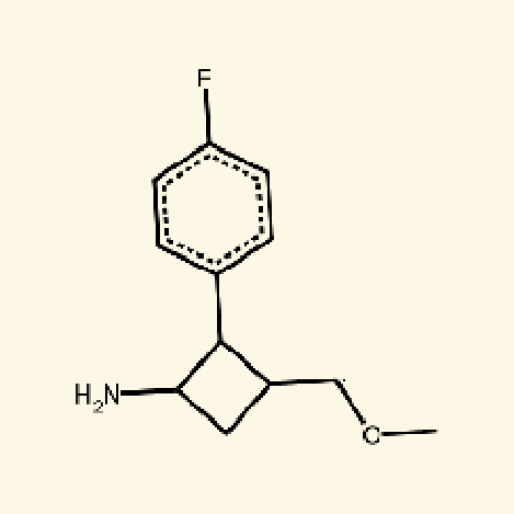 CO[CH]C1CC(N)C1c1ccc(F)cc1